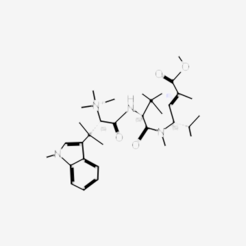 COC(=O)/C(C)=C/[C@H](C(C)C)N(C)C(=O)[C@@H](NC(=O)[C@H](C(C)(C)c1cn(C)c2ccccc12)[N+](C)(C)C)C(C)(C)C